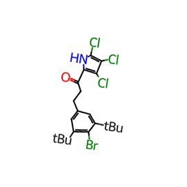 CC(C)(C)c1cc(CCC(=O)c2[nH]c(Cl)c(Cl)c2Cl)cc(C(C)(C)C)c1Br